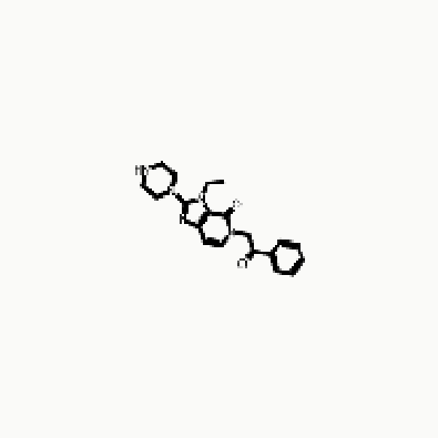 CCn1c(N2CCNCC2)nc2ccn(CC(=O)c3ccccc3)c(=O)c21